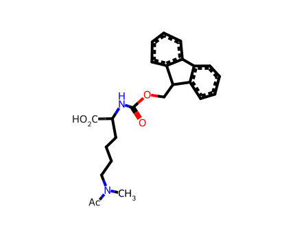 CC(=O)N(C)CCCCC(NC(=O)OCC1c2ccccc2-c2ccccc21)C(=O)O